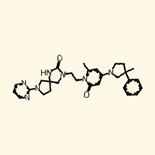 Cc1cc(N2CCC(C)(c3ccccc3)C2)cc(=O)n1CCN1CC2(CCN(c3ncccn3)C2)NC1=O